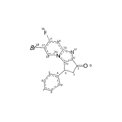 O=C1CC(c2ccccc2)c2c1nc1cc(F)c(Br)cn21